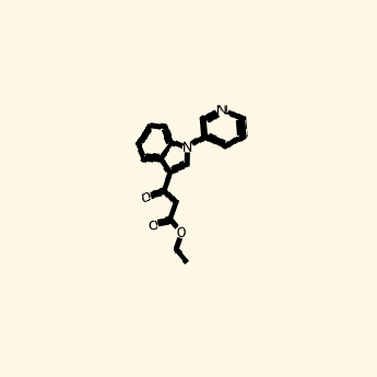 CCOC(=O)CC(=O)c1cn(-c2cccnc2)c2ccccc12